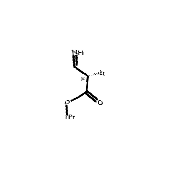 CCCOC(=O)[C@H](C=N)CC